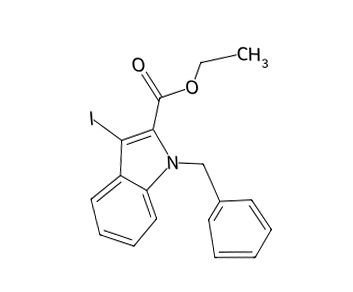 CCOC(=O)c1c(I)c2ccccc2n1Cc1ccccc1